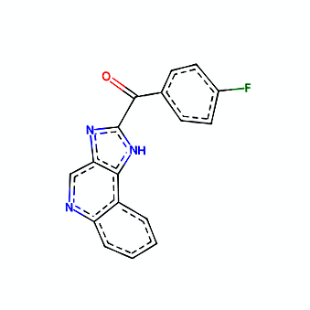 O=C(c1ccc(F)cc1)c1nc2cnc3ccccc3c2[nH]1